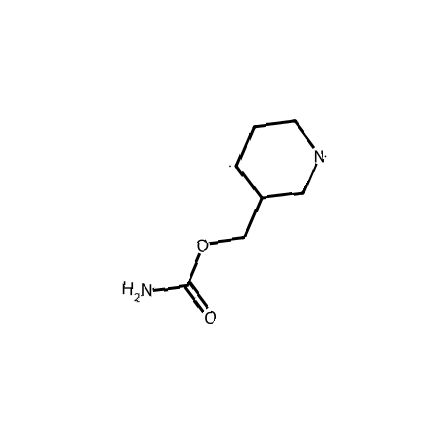 NC(=O)OCC1[CH]CC[N]C1